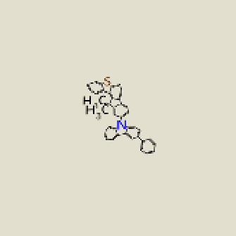 CC1(C)c2cc(-n3c4ccccc4c4cc(-c5ccccc5)ccc43)ccc2-c2ccc3sc4ccccc4c3c21